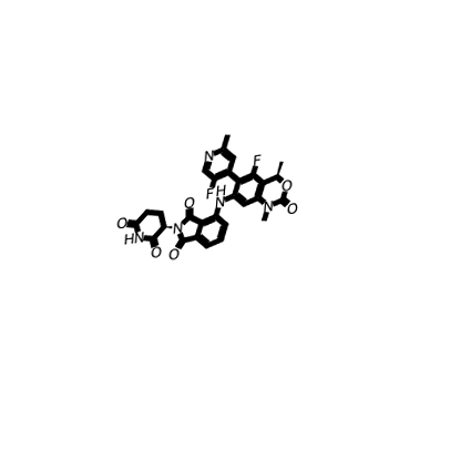 Cc1cc(-c2c(Nc3cccc4c3C(=O)N([C@H]3CCC(=O)NC3=O)C4=O)cc3c(c2F)[C@@H](C)OC(=O)N3C)c(F)cn1